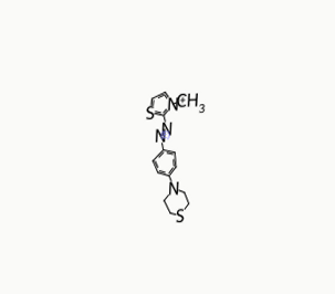 C[n+]1ccsc1/N=N/c1ccc(N2CCSCC2)cc1